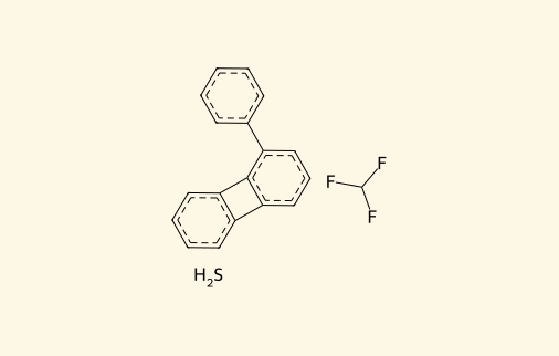 FC(F)F.S.c1ccc(-c2cccc3c2-c2ccccc2-3)cc1